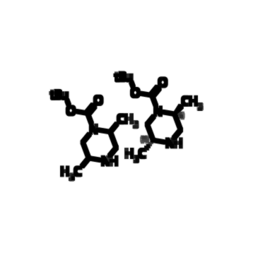 CC1CN(C(=O)OC(C)(C)C)C(C)CN1.C[C@@H]1CN(C(=O)OC(C)(C)C)[C@@H](C)CN1